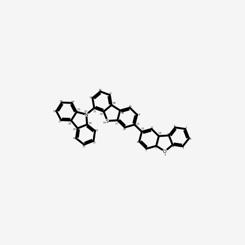 C1=CC2Oc3ccccc3C2C=C1c1ccc2c(c1)sc1c(-n3c4ccccc4c4ccccc43)cccc12